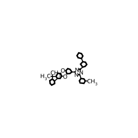 Cc1cccc(-c2nc(-c3cccc(-c4ccccc4)c3)nc(-c3ccc4c(c3)Oc3cc5c(cc3O4)C(C)(C)c3ccccc3-5)n2)c1